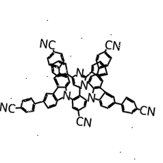 N#Cc1ccc(-c2ccc3c(c2)c2cc(-c4ccc(C#N)cc4)ccc2n3-c2cc(C#N)cc(-n3c4ccc(-c5ccc(C#N)cc5)cc4c4cc(-c5ccc(C#N)cc5)ccc43)c2-c2cc(-c3ccccc3)nc(-c3ccccc3)n2)cc1